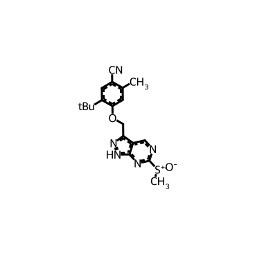 Cc1cc(OCc2n[nH]c3nc([S+](C)[O-])ncc23)c(C(C)(C)C)cc1C#N